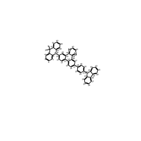 CC1(C)c2ccccc2N(c2ccc3c4ccc(-c5ccc(-n6c7ccccc7c7ccccc76)cc5)cc4c4nccnc4c3c2)c2ccccc21